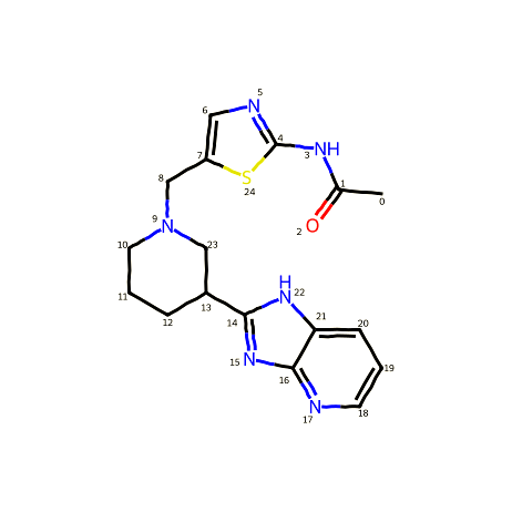 CC(=O)Nc1ncc(CN2CCCC(c3nc4ncccc4[nH]3)C2)s1